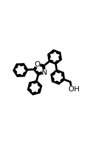 OCc1cccc(-c2ccccc2-c2nc(-c3ccccc3)c(-c3ccccc3)o2)c1